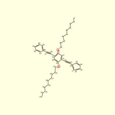 CCCCCCCCCCOc1cc(C#Cc2ccccc2)c(OCCCCCCCCCC)cc1C#Cc1ccccc1